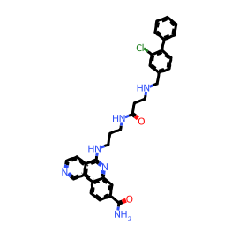 NC(=O)c1ccc2c(c1)nc(NCCCNC(=O)CCNCc1ccc(-c3ccccc3)c(Cl)c1)c1ccncc12